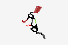 Cc1ccc(C(=O)c2ccc(CBr)cc2Br)c(F)c1